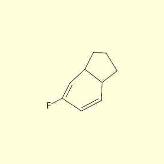 FC1=CC2CCCC2C=C1